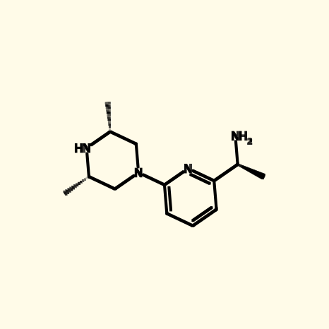 C[C@@H]1CN(c2cccc([C@H](C)N)n2)C[C@H](C)N1